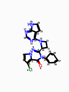 O=c1c2c(Cl)ccn2nc([C@@H]2CCN2c2ncnc3[nH]ccc23)n1-c1ccccc1